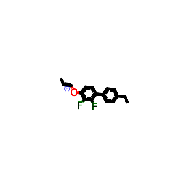 C/C=C/Oc1ccc(-c2ccc(CC)cc2)c(F)c1F